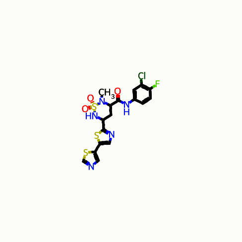 CN1C(C(=O)Nc2ccc(F)c(Cl)c2)CC(c2ncc(-c3cncs3)s2)NS1(=O)=O